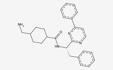 NCC1CCC(C(=O)N[C@@H](Cc2ccccc2)c2nccc(-c3ccccc3)n2)CC1